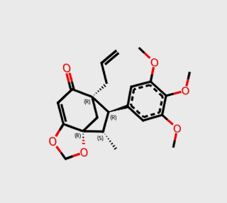 C=CC[C@]12C[C@@]3(OCOC3=CC1=O)[C@@H](C)[C@@H]2c1cc(OC)c(OC)c(OC)c1